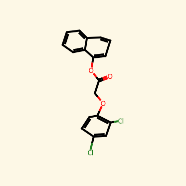 O=C(COc1ccc(Cl)cc1Cl)Oc1cccc2ccccc12